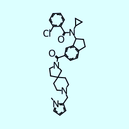 Cn1cccc1CN1CCC2(CC1)CCN(C(=O)c1ccc3c(c1)C(N(C(=O)c1ccccc1Cl)C1CC1)CC3)C2